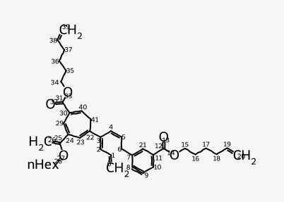 C=C/C=C(\C=C/Cc1c#ccc(C(=O)OCCCCC=C)c1)C1=CC(C(=C)OCCCCCC)=CC(C(=O)OCCCCC=C)=CC1